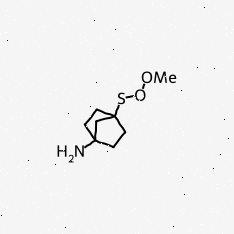 COOSC12CCC(N)(CC1)C2